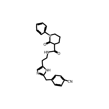 N#Cc1ccc(Cc2ncc(CCNC(=O)C3CCCN(c4ccccc4)C3=O)[nH]2)cc1